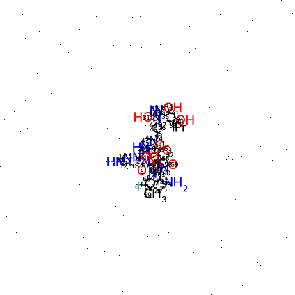 CC[C@@]1(OC(=O)[C@@H](NC(=O)[C@H](Cc2c[nH]cn2)NC(=O)CN2CCN(Cc3ccc(-n4c(O)nnc4-c4cc(C(C)C)c(O)cc4O)cc3)CC2)C(C)C)C(=O)OCc2c1cc1n(c2=O)Cc2c-1nc1cc(F)c(C)c3c1c2[C@@H](N)CC3